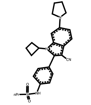 CCCS(=O)(=O)Nc1ccc(-c2c(C#N)c3ccc(N4CCCC4)cc3n2C2CCC2)cc1